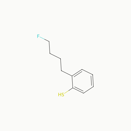 FCCCCc1ccccc1S